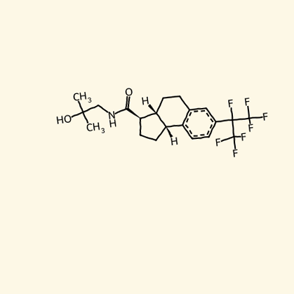 CC(C)(O)CNC(=O)[C@@H]1CC[C@H]2c3ccc(C(F)(C(F)(F)F)C(F)(F)F)cc3CC[C@@H]12